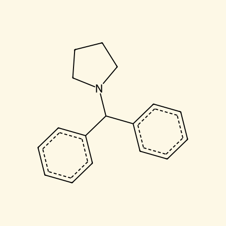 c1ccc(C(c2ccccc2)N2CCCC2)cc1